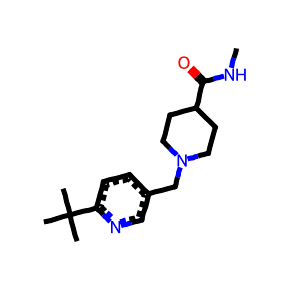 CNC(=O)C1CCN(Cc2ccc(C(C)(C)C)nc2)CC1